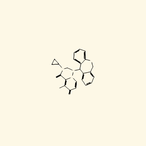 O=C1c2c(O)c(=O)ccn2N(C2c3ccccc3COc3ccccc32)CN1C1CC1